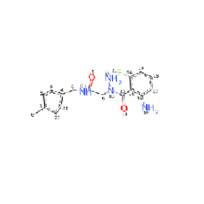 Cc1ccc(CNC(=O)CN(N)C(=O)c2c(N)cccc2F)cc1